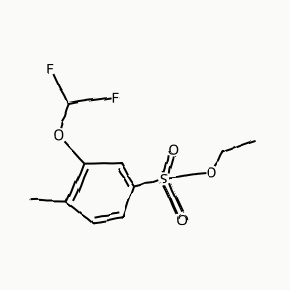 CCOS(=O)(=O)c1ccc(C)c(OC(F)F)c1